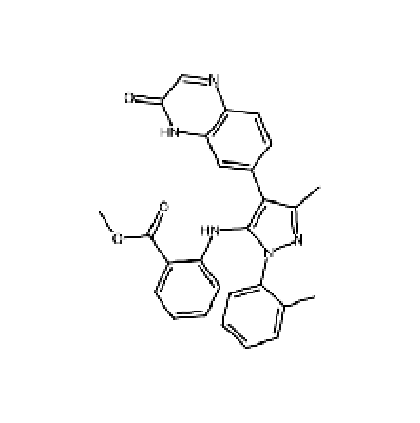 COC(=O)c1ccccc1Nc1c(-c2ccc3ncc(=O)[nH]c3c2)c(C)nn1-c1ccccc1C